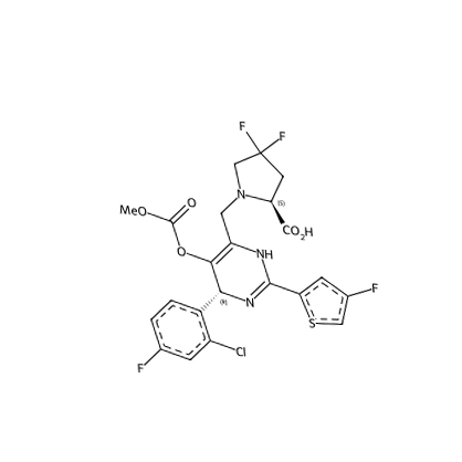 COC(=O)OC1=C(CN2CC(F)(F)C[C@H]2C(=O)O)NC(c2cc(F)cs2)=N[C@@H]1c1ccc(F)cc1Cl